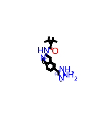 CN(N)/C=C(\N)c1ccc2cnc(NC(=O)C3C(C)(C)C3(C)C)cc2c1